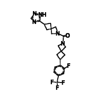 O=C(N1CC2(CC(c3ncn[nH]3)C2)C1)N1CC2(CC(c3ccc(C(F)(F)F)cc3F)C2)C1